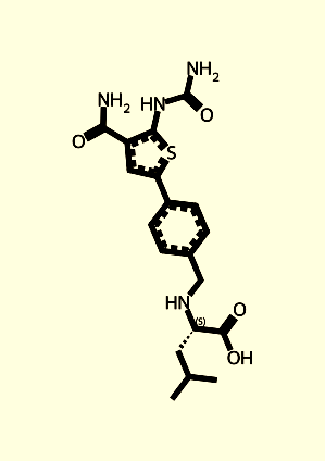 CC(C)C[C@H](NCc1ccc(-c2cc(C(N)=O)c(NC(N)=O)s2)cc1)C(=O)O